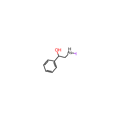 OC(C[AsH]I)c1ccccc1